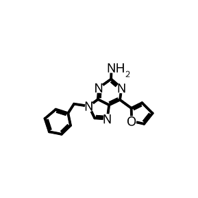 Nc1nc(-c2ccco2)c2ncn(Cc3ccccc3)c2n1